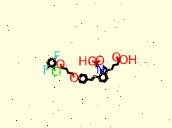 O=C(O)CCCc1cn(CC(=O)O)c2c(C=Cc3ccc(OCCCCOc4c(F)ccc(F)c4Cl)cc3)cccc12